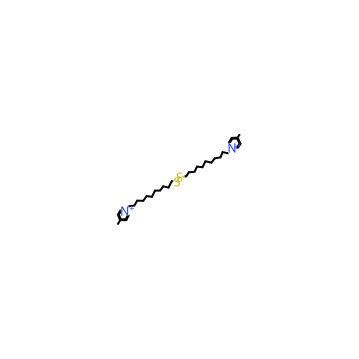 Cc1cc[n+](CCCCCCCCCCCSSCCCCCCCCCCC[n+]2ccc(C)cc2)cc1